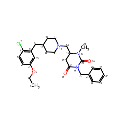 CCOc1ccc(Cl)c(CC2CCN(CC3CC(=O)N(Cc4ccccc4)C(=O)N3C)CC2)c1